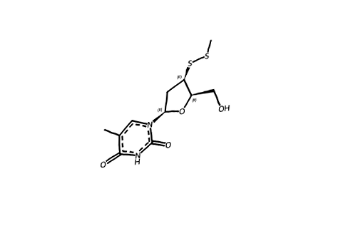 CSS[C@@H]1C[C@H](n2cc(C)c(=O)[nH]c2=O)O[C@@H]1CO